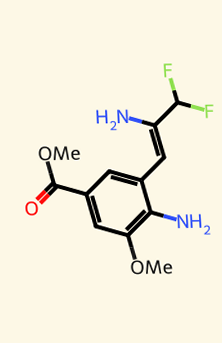 COC(=O)c1cc(/C=C(\N)C(F)F)c(N)c(OC)c1